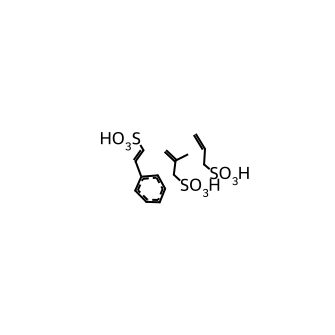 C=C(C)CS(=O)(=O)O.C=CCS(=O)(=O)O.O=S(=O)(O)C=Cc1ccccc1